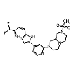 CS(=O)(=O)N1CCN2CCN(c3cc(-c4cnc(/C=C\C(=N)C(F)F)[nH]4)ccn3)CC2C1